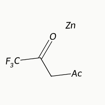 CC(=O)CC(=O)C(F)(F)F.[Zn]